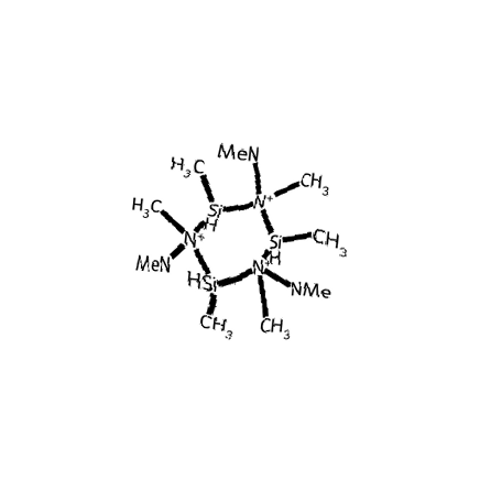 CN[N+]1(C)[SiH](C)[N+](C)(NC)[SiH](C)[N+](C)(NC)[SiH]1C